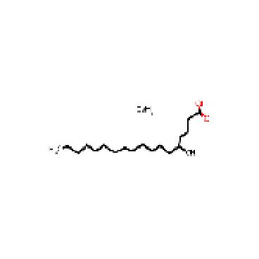 CCCCCCCCCCCCCC(C)CCCC(=O)O.[CaH2]